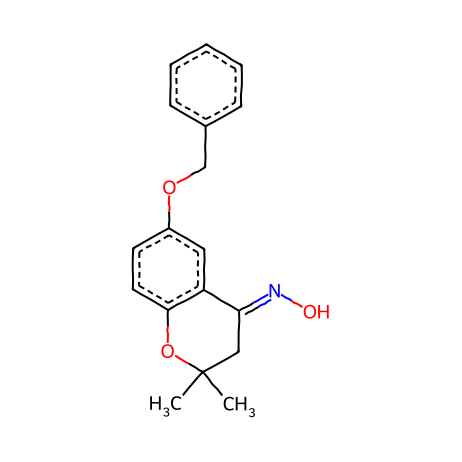 CC1(C)C/C(=N\O)c2cc(OCc3ccccc3)ccc2O1